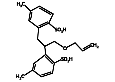 C=CCOCC(Cc1cc(C)ccc1S(=O)(=O)O)c1cc(C)ccc1S(=O)(=O)O